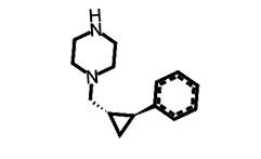 c1ccc([C@H]2C[C@@H]2CN2CCNCC2)cc1